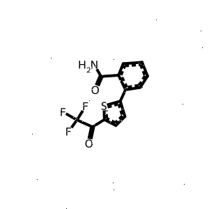 NC(=O)c1ccccc1-c1ccc(C(=O)C(F)(F)F)s1